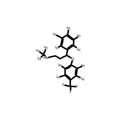 [2H]c1c([2H])c([2H])c(C(CCNC([2H])([2H])[2H])Oc2c([2H])c([2H])c(C(F)(F)F)c([2H])c2[2H])c([2H])c1[2H]